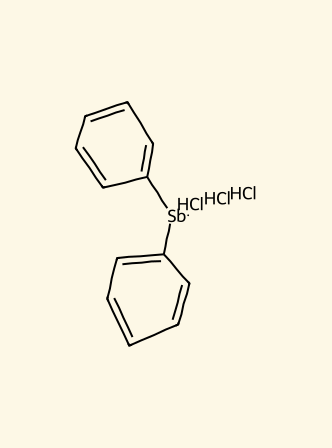 Cl.Cl.Cl.c1cc[c]([Sb][c]2ccccc2)cc1